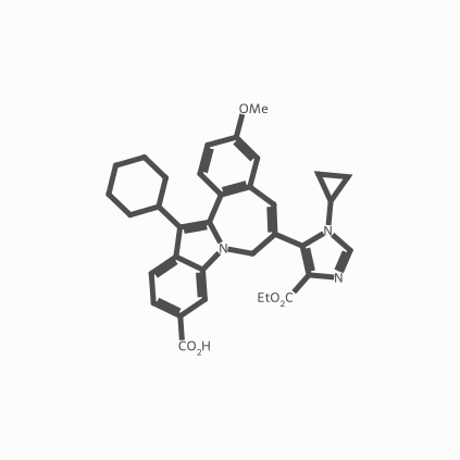 CCOC(=O)c1ncn(C2CC2)c1C1=Cc2cc(OC)ccc2-c2c(C3CCCCC3)c3ccc(C(=O)O)cc3n2C1